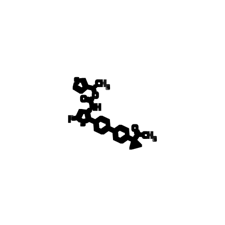 CC(=O)C1(c2ccc(-c3ccc(-c4sc(F)cc4NC(=O)O[C@H](C)c4ccsc4)cc3)cc2)CC1